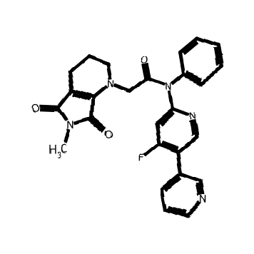 CN1C(=O)C2=C(C1=O)N(CC(=O)N(c1ccccc1)c1cc(F)c(-c3cccnc3)cn1)CCC2